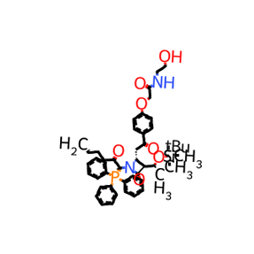 C=CCCC(=O)C(N1C(=O)[C@H]([C@@H](C)O[Si](C)(C)C(C)(C)C)[C@H]1CC(=O)c1ccc(OCC(=O)NCCO)cc1)=P(c1ccccc1)(c1ccccc1)c1ccccc1